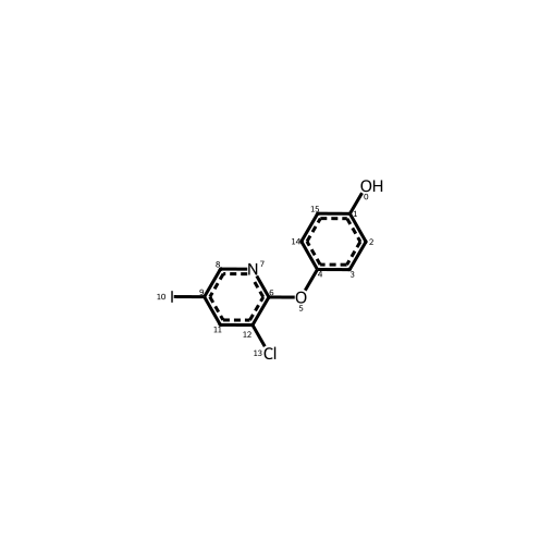 Oc1ccc(Oc2ncc(I)cc2Cl)cc1